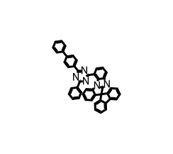 c1ccc(-c2ccc(-c3nc(-c4ccccc4)nc(-c4cccc5nc6n(c45)-c4ccccc4C64c5ccccc5-c5ccccc54)n3)cc2)cc1